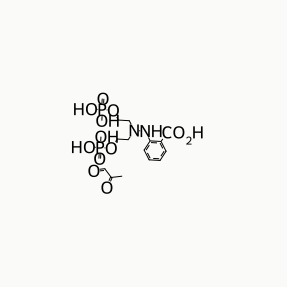 CC(=O)C=O.O=C(O)c1ccccc1NN(CCOP(=O)(O)O)CCOP(=O)(O)O